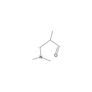 CC([CH]N(C)C)C=O